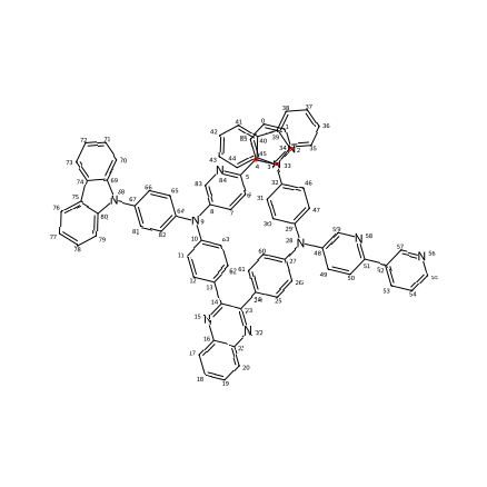 c1cncc(-c2ccc(N(c3ccc(-c4nc5ccccc5nc4-c4ccc(N(c5ccc(-n6c7ccccc7c7ccccc76)cc5)c5ccc(-c6cccnc6)nc5)cc4)cc3)c3ccc(-n4c5ccccc5c5ccccc54)cc3)cn2)c1